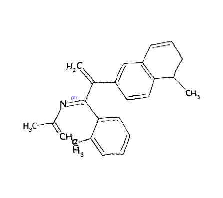 C=C(C)/N=C(/C(=C)c1ccc2c(c1)C=CCC2C)c1ccccc1C